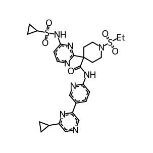 CCS(=O)(=O)N1CCC(C(=O)Nc2ccc(-c3cncc(C4CC4)n3)cn2)(c2nccc(NS(=O)(=O)C3CC3)n2)CC1